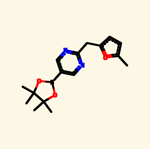 Cc1ccc(Cc2ncc(B3OC(C)(C)C(C)(C)O3)cn2)o1